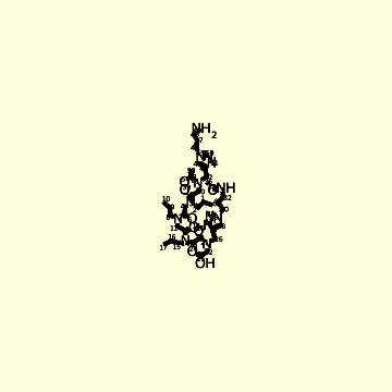 CCCN(CC(=O)N(CCC)CC(=O)N(CCC)CC(=O)N(CC(=O)O)Cc1cn(CCCNOC)nn1)C(=O)CN(Cc1cn(CCCN)nn1)C(C)=O